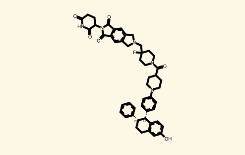 O=C1CCC(N2C(=O)c3cc4c(cc3C2=O)CN(CC2(F)CCN(C(=O)C3CCN(c5ccc([C@@H]6c7ccc(O)cc7CC[C@@H]6c6ccccc6)cc5)CC3)CC2)C4)C(=O)N1